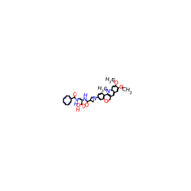 COc1cc2cc3c([n+](C)c2cc1OC)-c1ccc(N2CC(C(=O)NC(CNC(=O)C4=C/C=C\C=C/C=C\4)C(=O)O)C2)cc1OC3